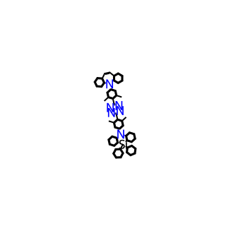 Cc1cc(N2c3ccccc3C=Cc3ccccc32)cc(C)c1-c1nnc(-c2c(C)cc(N3c4ccccc4[Si](c4ccccc4)(c4ccccc4)c4ccccc43)cc2C)nn1